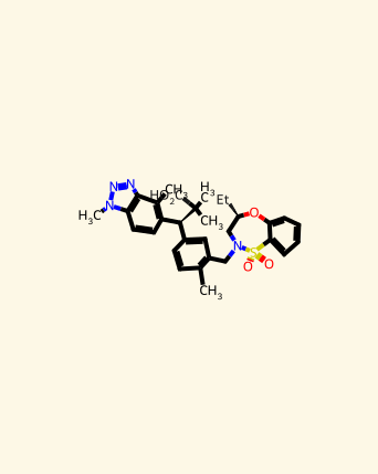 CC[C@@H]1CN(Cc2cc([C@@H](c3ccc4c(nnn4C)c3C)C(C)(C)C(=O)O)ccc2C)S(=O)(=O)c2ccccc2O1